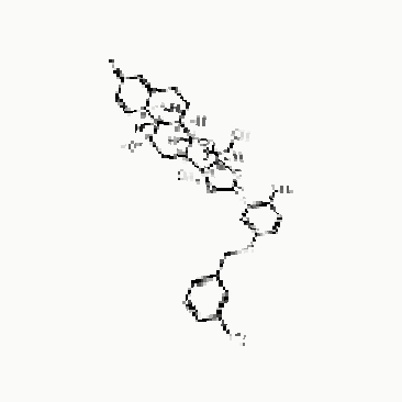 Cc1ccc(OCc2cccc(N)c2)cc1[C@H]1O[C@@H]2C[C@H]3[C@@H]4CCC5=CC(=O)C=C[C@]5(C)[C@H]4[C@@H](O)C[C@]3(C)[C@]2(C(=O)CO)O1